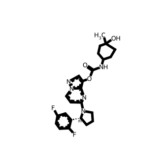 CC1(O)CCC(NC(=O)Oc2cnn3ccc(N4CCC[C@@H]4c4cc(F)ccc4F)nc23)CC1